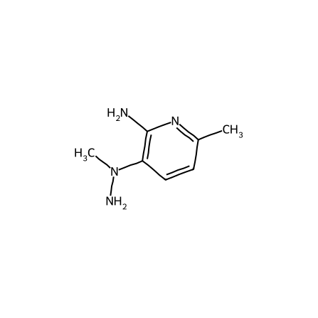 Cc1ccc(N(C)N)c(N)n1